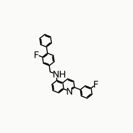 Fc1cccc(-c2ccc3c(NCc4ccc(-c5ccccc5)c(F)c4)cccc3n2)c1